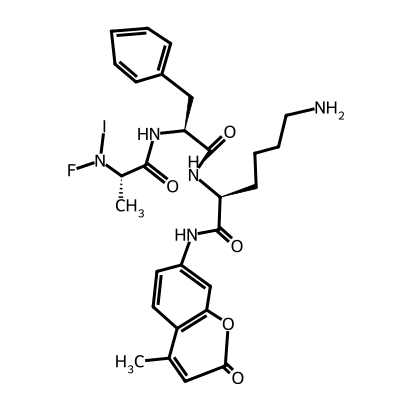 Cc1cc(=O)oc2cc(NC(=O)[C@H](CCCCN)NC(=O)[C@H](Cc3ccccc3)NC(=O)[C@H](C)N(F)I)ccc12